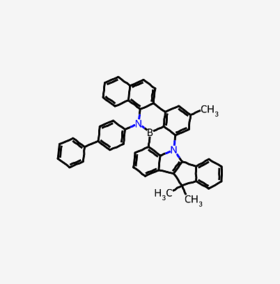 Cc1cc2c3c(c1)-n1c4c(c5cccc(c51)B3N(c1ccc(-c3ccccc3)cc1)c1c-2ccc2ccccc12)C(C)(C)c1ccccc1-4